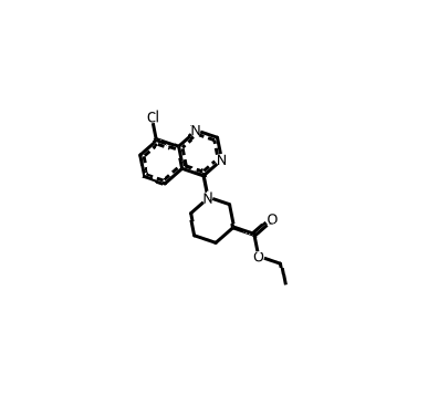 CCOC(=O)C1CCCN(c2ncnc3c(Cl)cccc23)C1